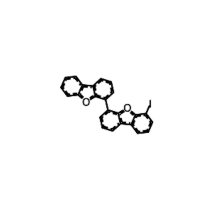 Ic1cccc2c1oc1c(-c3cccc4c3oc3ccccc34)cccc12